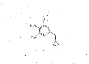 Cc1cc(CC2CC2)cc(C)c1N